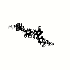 CC(C)(C)OC(=O)N1CCC(Oc2ccc(F)c3c2CN(c2cnn(COCC[Si](C)(C)C)c(=O)c2C(F)(F)F)C3)CC1